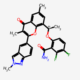 Cc1cc([C@@H](C)Oc2ccc(F)c(F)c2C(N)=O)c2oc(-c3ccc4nn(C)cc4c3)c(C)c(=O)c2c1